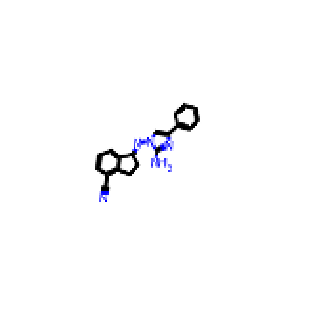 N#Cc1cccc2c1CCC2=Nn1cc(-c2ccccc2)nc1N